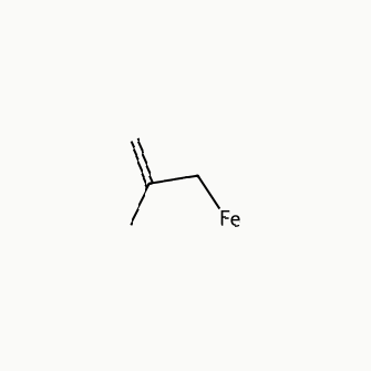 C=C(C)[CH2][Fe]